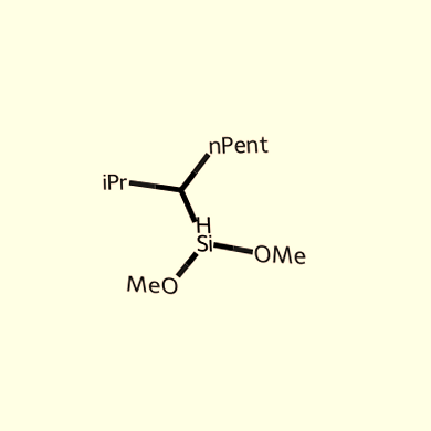 CCCCCC(C(C)C)[SiH](OC)OC